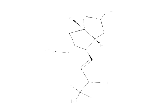 CCCCO[C@@H]1C[C@@H]2OC(O)C[C@@H]2[C@H]1/C=C/C(O)C(F)(F)CCCC